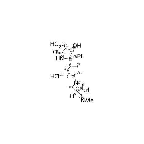 CCc1c(-c2ccc(N3C[C@@H]4[C@H](C3)[C@@H]4NC)cc2)[nH]c(=O)c(C(=O)O)c1O.Cl